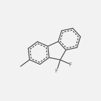 Cc1ccc2c(c1)C(F)(F)c1ccccc1-2